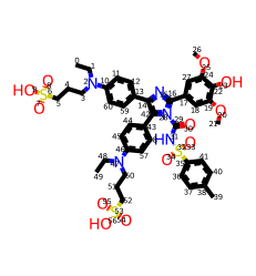 CCN(CCCS(=O)(=O)O)c1ccc(-c2nc(-c3cc(OC)c(O)c(OC)c3)n(C(=O)NS(=O)(=O)c3ccc(C)cc3)c2-c2ccc(N(CC)CCCS(=O)(=O)O)cc2)cc1